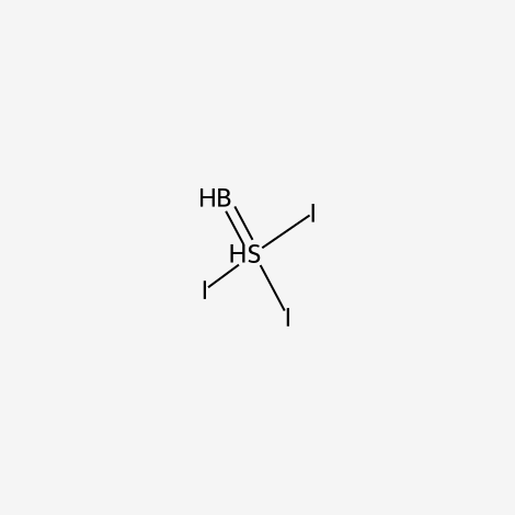 B=[SH](I)(I)I